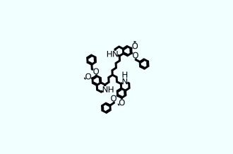 COc1cc2c(cc1OCc1ccccc1)C(CCCCC(CCC1NCCc3cc(OC)c(OCc4ccccc4)cc31)CCC1NCCc3cc(OC)c(OCc4ccccc4)cc31)NCC2